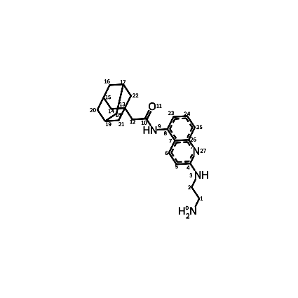 NCCNc1ccc2c(NC(=O)CC34CC5CC(CC(C5)C3)C4)cccc2n1